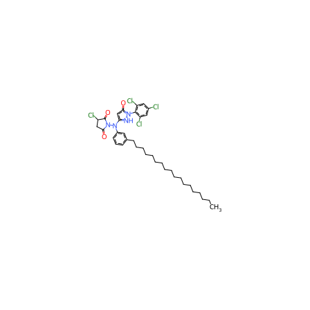 CCCCCCCCCCCCCCCCCCc1cccc(N(c2cc(=O)n(-c3c(Cl)cc(Cl)cc3Cl)[nH]2)N2C(=O)CC(Cl)C2=O)c1